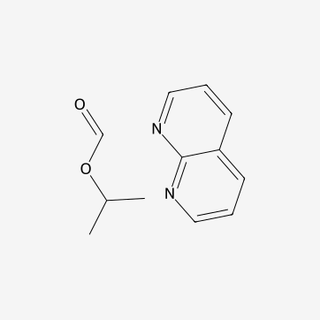 CC(C)OC=O.c1cnc2ncccc2c1